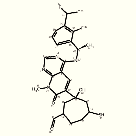 C[C@@H](Nc1ncnc2c1cc(C1(O)CC(S)CCC(C=O)C1)c(=O)n2C)c1cccc(C(F)F)c1F